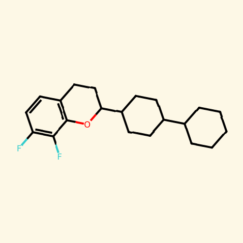 Fc1ccc2c(c1F)OC(C1CCC(C3CCCCC3)CC1)CC2